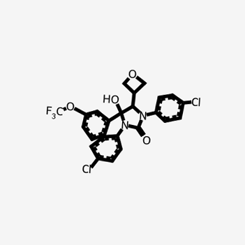 O=C1N(c2ccc(Cl)cc2)C(C2COC2)C(O)(c2cccc(OC(F)(F)F)c2)N1c1ccc(Cl)cc1